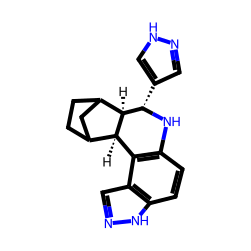 c1n[nH]cc1[C@@H]1Nc2ccc3[nH]ncc3c2[C@H]2C3CCC(C3)[C@@H]12